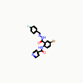 O=C(Nc1ccc(Br)cc1C(=O)NN=Cc1ccc(F)cc1)c1ccncc1